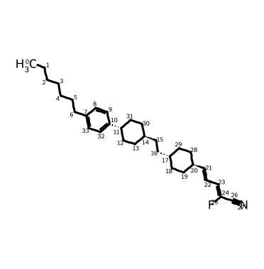 CCCCCCCc1ccc([C@H]2CC[C@H](CC[C@H]3CC[C@H](/C=C/C=C(\F)C#N)CC3)CC2)cc1